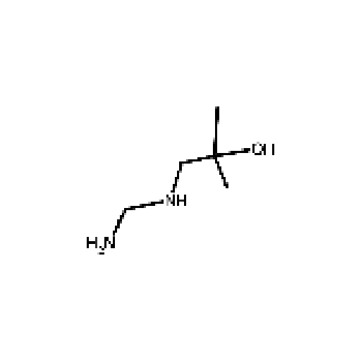 CC(C)(O)CNCN